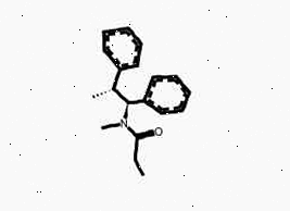 CCC(=O)N(C)[C@H](c1ccccc1)[C@H](C)c1ccccc1